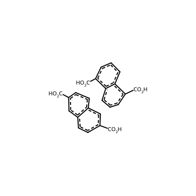 O=C(O)c1ccc2cc(C(=O)O)ccc2c1.O=C(O)c1cccc2c(C(=O)O)cccc12